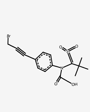 CC(C)(C)C(N(C(=O)O)c1ccc(C#CCBr)cc1)=S(=O)=O